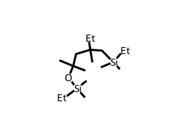 CCC(C)(CC(C)(C)O[Si](C)(C)CC)C[Si](C)(C)CC